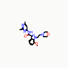 COc1cccc2c(C(=O)Nc3cc(C)nc(C)n3)nn(CCN3CCOCC3)c12